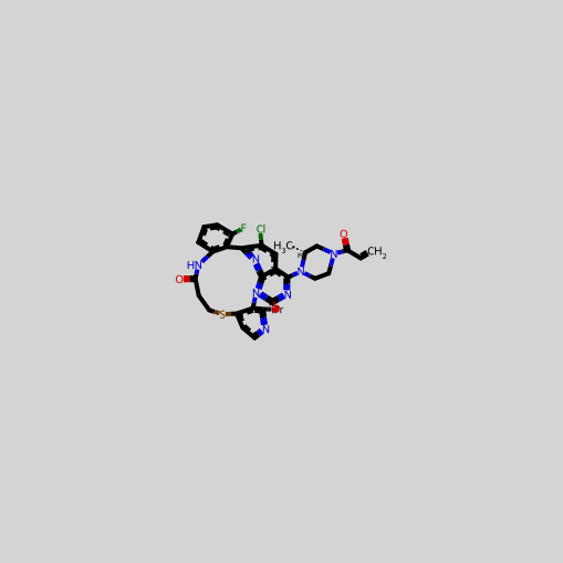 C=CC(=O)N1CCN(c2nc(=O)n3c4nc(c(Cl)cc24)-c2c(F)cccc2NC(=O)CCSc2ccnc(C(C)C)c2-3)[C@H](C)C1